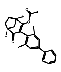 CC(=O)OC1=C(c2c(C)cc(-c3ccccc3)cc2C)C(=O)[C@@H]2CC[C@H]1C2